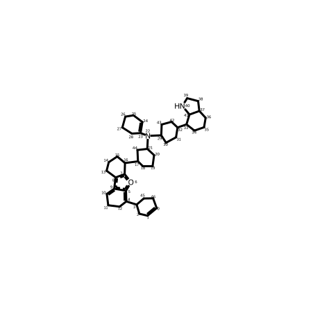 C1=CCC(C2=c3oc4c(c3=CCC2)CCCC4C2CCCC(N(C3=CCCCC3)C3CCC(C4CCCC5CCNC54)CC3)C2)CC1